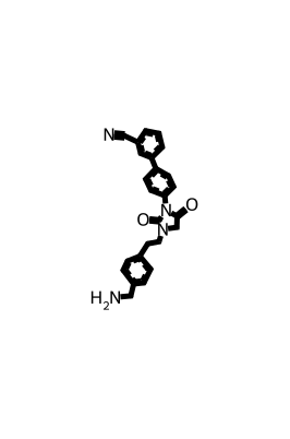 N#Cc1cccc(-c2ccc(N3C(=O)CN(CCc4ccc(CN)cc4)C3=O)cc2)c1